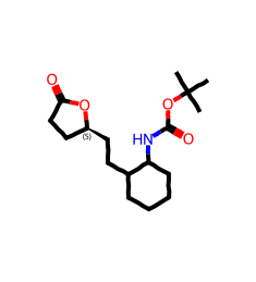 CC(C)(C)OC(=O)NC1CCCCC1CC[C@H]1CCC(=O)O1